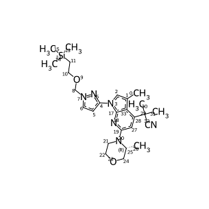 Cc1cn(-c2ccn(COCC[Si](C)(C)C)n2)c2nc(N3CCOC[C@H]3C)cc(C(C)(C)C#N)c12